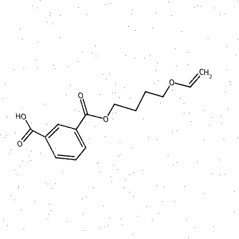 C=COCCCCOC(=O)c1cccc(C(=O)O)c1